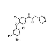 CC(C)c1cc(Oc2c(Cl)cc(NC(=O)Cc3cccnc3)cc2Cl)ccc1Br